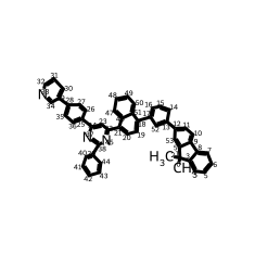 CC1(C)c2ccccc2-c2ccc(-c3cccc(-c4ccc(-c5cc(-c6ccc(-c7cccnc7)cc6)nc(-c6ccccc6)n5)c5ccccc45)c3)cc21